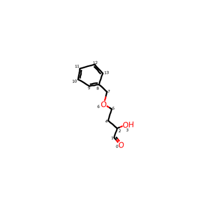 O=CC(O)CCOCc1ccccc1